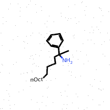 CCCCCCCCCCCCC(C)(N)c1ccccc1